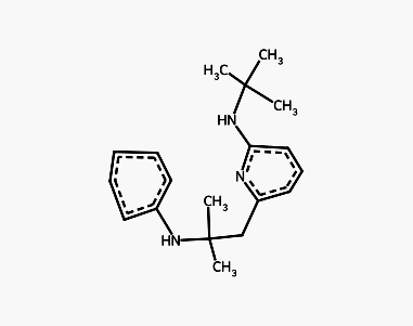 CC(C)(C)Nc1cccc(CC(C)(C)Nc2ccccc2)n1